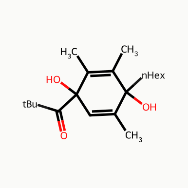 CCCCCCC1(O)C(C)=CC(O)(C(=O)C(C)(C)C)C(C)=C1C